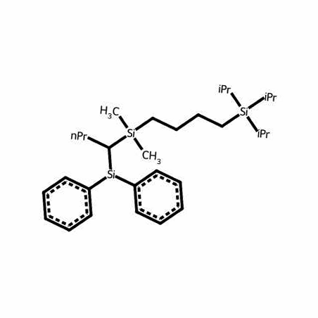 CCCC([Si](c1ccccc1)c1ccccc1)[Si](C)(C)CCCC[Si](C(C)C)(C(C)C)C(C)C